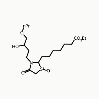 CCCOCC(O)CCN1C(=O)C[S+]([O-])C1CCCCCCC(=O)OCC